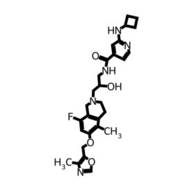 Cc1ncoc1COc1cc(F)c2c(c1C)CCN(CC(O)CNC(=O)c1ccnc(NC3CCC3)c1)C2